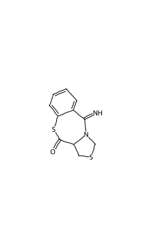 N=C1c2ccccc2SC(=O)C2CSCN12